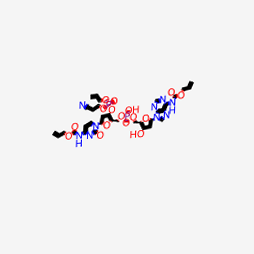 C=CCOC(=O)Nc1ccn([C@H]2C[C@H](OP(=O)(OCC=C)OCCC#N)[C@@H](COP(=O)(O)OC[C@H]3O[C@@H](n4cnc5c(NC(=O)OCC=C)ncnc54)C[C@@H]3O)O2)c(=O)n1